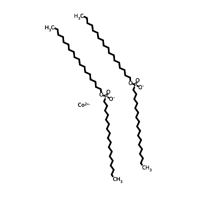 CCCCCCCCCCCCCCCCCCOP(=O)([O-])CCCCCCCCCCCCCCCCCC.CCCCCCCCCCCCCCCCCCOP(=O)([O-])CCCCCCCCCCCCCCCCCC.[Co+2]